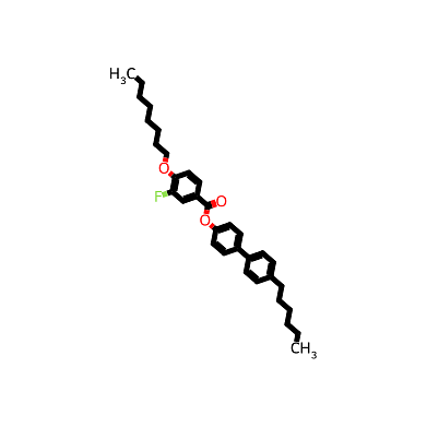 CCCCCCCCOc1ccc(C(=O)Oc2ccc(-c3ccc(CCCCCC)cc3)cc2)cc1F